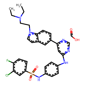 CCN(CC)CCn1ccc2cc(-c3cc(Nc4ccc(NS(=O)(=O)c5ccc(F)c(Cl)c5)cc4)ncn3)ccc21.O=CO